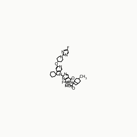 CC1CC2CC(C1)C(NC(=O)c1cnc(N3CC4(CCCCC4)c4cc(OC5CCN(c6ncc(F)cn6)CC5)ncc43)nc1C(C)(F)F)(C(=O)O)C2